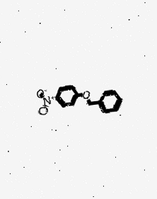 O=[N+]([O-])c1ccc(O[CH]c2ccccc2)cc1